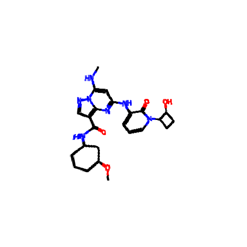 CNc1cc(Nc2cccn(C3CC[C@@H]3O)c2=O)nc2c(C(=O)NC3CCC[C@H](OC)C3)cnn12